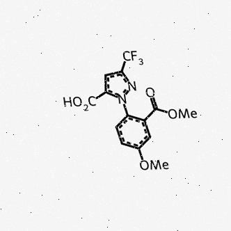 COC(=O)c1cc(OC)ccc1-n1nc(C(F)(F)F)cc1C(=O)O